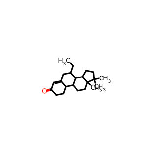 CCC1CC2=CC(=O)CCC2C2CCC3(C)C(CCC3(C)C)C12